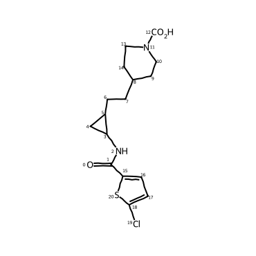 O=C(NC1CC1CCC1CCN(C(=O)O)CC1)c1ccc(Cl)s1